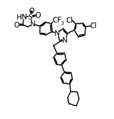 O=C1CN(c2ccc(-n3cc(-c4ccc(Cl)cc4Cl)nc3Cc3ccc(-c4ccc(C5CCCCC5)cc4)cc3)c(C(F)(F)F)c2)S(=O)(=O)N1